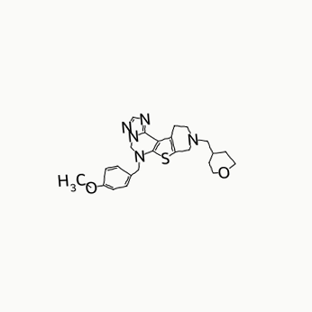 COc1ccc(CN2Cn3ncnc3-c3c2sc2c3CCN(CC3CCOCC3)C2)cc1